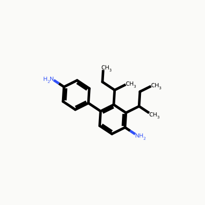 CCC(C)c1c(N)ccc(-c2ccc(N)cc2)c1C(C)CC